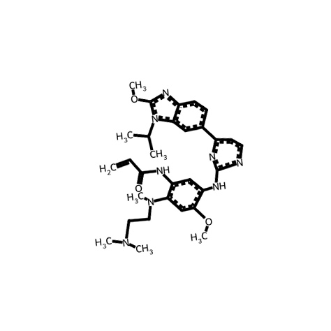 C=CC(=O)Nc1cc(Nc2nccc(-c3ccc4nc(OC)n(C(C)C)c4c3)n2)c(OC)cc1N(C)CCN(C)C